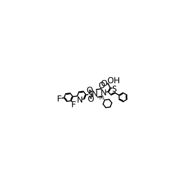 O=C(O)c1sc(-c2ccccc2)cc1N1C(=O)CN(S(=O)(=O)c2ccc(-c3ccc(F)cc3F)nc2)C[C@H]1C1CCCCC1